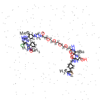 COc1cc(N2CCN(C(=O)CCOCCOCCOCCOCCC(=O)N[C@H](C(=O)N3C[C@H](O)C[C@H]3C(=O)NCc3ccc(-c4scnc4C)cc3)C(C)(C)C)CC2)ccc1Nc1ncc(Cl)c(Nc2ccccc2P(C)(C)=O)n1